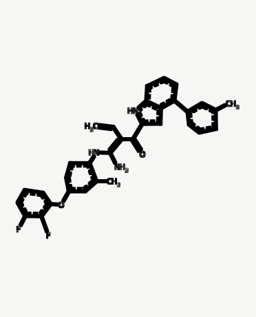 C=C/C(C(=O)c1cc2c(-c3cccc(C)c3)cccc2[nH]1)=C(/N)Nc1ccc(Oc2cccc(F)c2F)cc1C